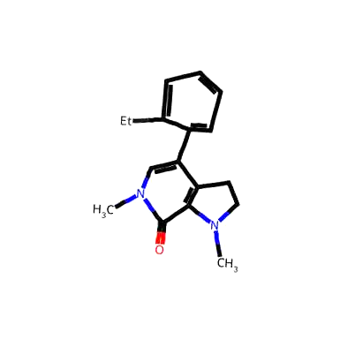 CCc1ccccc1-c1cn(C)c(=O)c2c1CCN2C